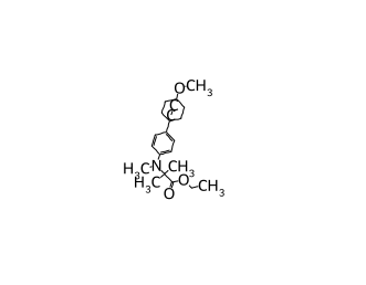 CCOC(=O)C(C)(C)N(C)c1ccc(C23CCC(OC)(CC2)CC3)cc1